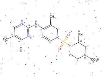 Cc1cc(S(=O)(=O)C2CCN(C(=O)O)CC2C(C)(C)C)ccc1Nc1ncc(C(F)(F)F)c(Cl)n1